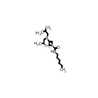 CCCCCCNC(=O)N1CC(N(CC(C)C)CC(C)C)C1